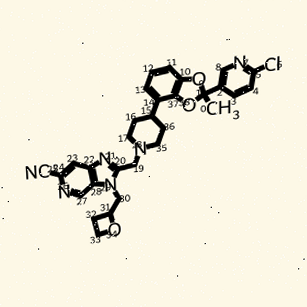 CC1(c2ccc(Cl)nc2)Oc2cccc(C3CCN(Cc4nc5cc(C#N)ncc5n4CC4CCO4)CC3)c2O1